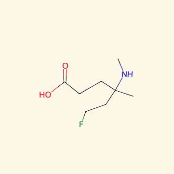 CNC(C)(CCF)CCC(=O)O